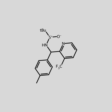 Cc1ccc(C(N[S+]([O-])C(C)(C)C)c2ncccc2C(F)(F)F)cc1